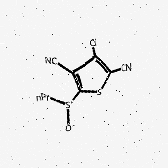 CCC[S+]([O-])c1sc(C#N)c(Cl)c1C#N